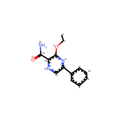 CCOc1nc(-c2ccccc2)cnc1C(N)=O